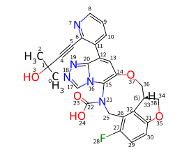 CC(C)(O)C#Cc1ncccc1-c1cc2c(n3cnnc13)N(C(=O)O)Cc1c(F)ccc3c1[C@@H](CO3)CO2